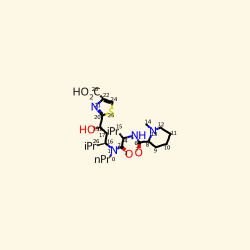 CCCN(C(=O)C(NC(=O)C1CCCCN1C)C(C)C)[C@H](C[C@@H](O)c1nc(C(=O)O)cs1)C(C)C